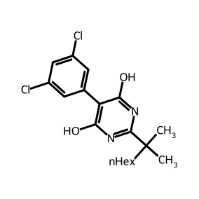 CCCCCCC(C)(C)c1nc(O)c(-c2cc(Cl)cc(Cl)c2)c(O)n1